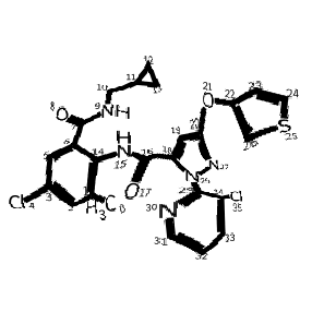 Cc1cc(Cl)cc(C(=O)NCC2CC2)c1NC(=O)c1cc(Oc2ccsc2)nn1-c1ncccc1Cl